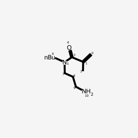 C=C(C)C(=O)N(CCCC)CCCN